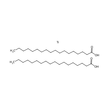 CCCCCCCCCCCCCCCCCC(=O)O.CCCCCCCCCCCCCCCCCC(=O)O.[Ti]